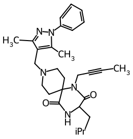 CC#CCN1C(=O)C(CC(C)C)NC(=O)C12CCN(Cc1c(C)nn(-c3ccccc3)c1C)CC2